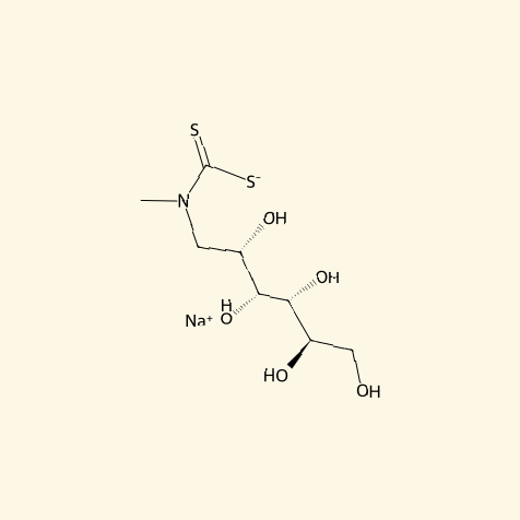 CN(C[C@H](O)[C@@H](O)[C@H](O)[C@H](O)CO)C(=S)[S-].[Na+]